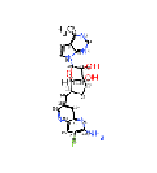 Cc1ncnc2c1ccn2[C@@H]1O[C@@H]2[C@H](Cc3cnc4cc(F)c(N)nc4c3)CC[C@]2(O)C1O